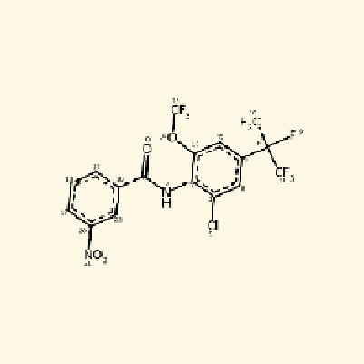 O=C(Nc1c(Cl)cc(C(F)(C(F)(F)F)C(F)(F)F)cc1OC(F)(F)F)c1cccc([N+](=O)[O-])c1